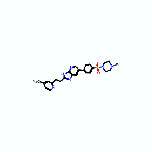 CCN1CCN(S(=O)(=O)c2ccc(-c3cnc4[nH]c(CCc5cc(OC)ccn5)nc4c3)cc2)CC1